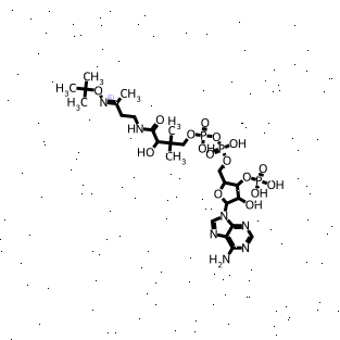 C/C(CCNC(=O)C(O)C(C)(C)COP(=O)(O)OP(=O)(O)OCC1OC(n2cnc3c(N)ncnc32)C(O)C1OP(=O)(O)O)=N\OC(C)(C)C